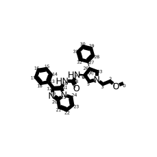 COCCN1C[C@@H](NC(=O)Nc2c(-c3ccccc3)nc3ccccn23)[C@H](c2ccccc2)C1